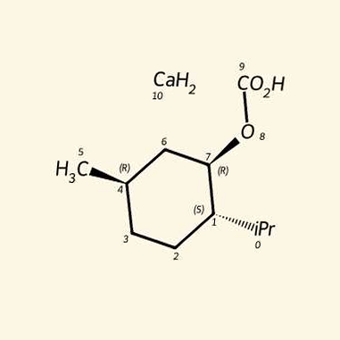 CC(C)[C@@H]1CC[C@@H](C)C[C@H]1OC(=O)O.[CaH2]